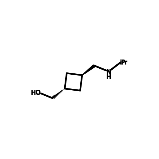 CC(C)NC[C@H]1C[C@H](CO)C1